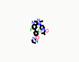 Cc1nc2cnc3cc(F)c(-c4ccc(Oc5ncccn5)cc4Cl)cc3c2n1C1CCN(C(=O)C(C)C)CC1